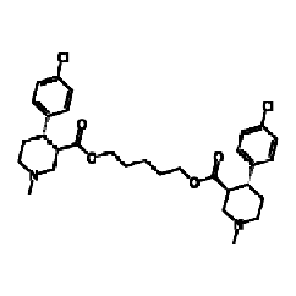 CN1CC[C@H](c2ccc(Cl)cc2)[C@@H](C(=O)OCCCCCOC(=O)[C@@H]2CN(C)CC[C@H]2c2ccc(Cl)cc2)C1